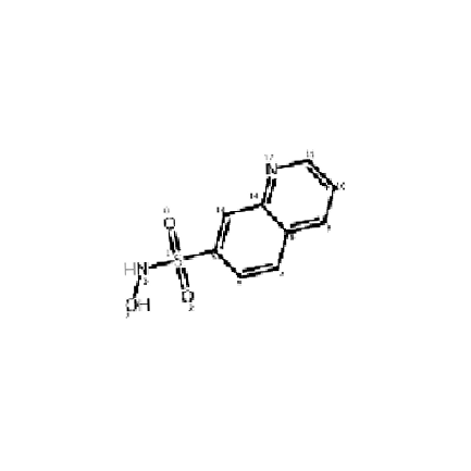 O=S(=O)(NO)c1ccc2cccnc2c1